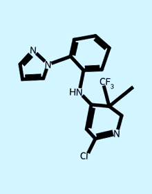 CC1(C(F)(F)F)CN=C(Cl)C=C1Nc1ccccc1-n1cccn1